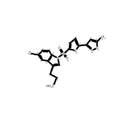 O=C(O)CCc1cn(S(=O)(=O)c2ccc(-c3cc(C(F)(F)F)on3)s2)c2ccc(Cl)cc12